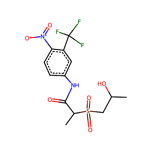 CC(O)CS(=O)(=O)C(C)C(=O)Nc1ccc([N+](=O)[O-])c(C(F)(F)F)c1